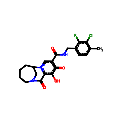 Cc1ccc(CNC(=O)c2cn3c(c(O)c2=O)C(=O)N2CCCCC3C2)c(F)c1Cl